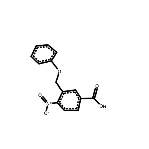 O=C(O)c1ccc([N+](=O)[O-])c(COc2ccccc2)c1